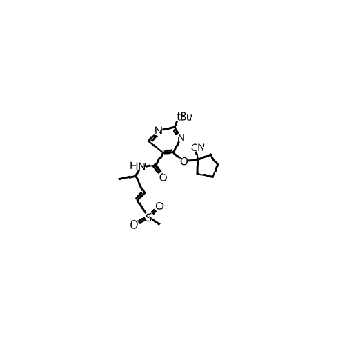 CC(C=CS(C)(=O)=O)NC(=O)c1cnc(C(C)(C)C)nc1OC1(C#N)CCCC1